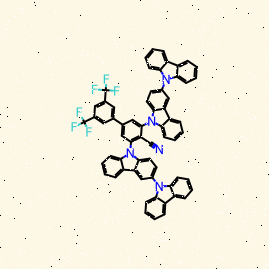 N#Cc1c(-n2c3ccccc3c3cc(-n4c5ccccc5c5ccccc54)ccc32)cc(-c2cc(C(F)(F)F)cc(C(F)(F)F)c2)cc1-n1c2ccccc2c2cc(-n3c4ccccc4c4ccccc43)ccc21